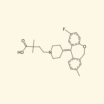 Cc1ccc2c(c1)COc1ccc(F)cc1C2=C1CCN(CCC(C)(C)C(=O)O)CC1